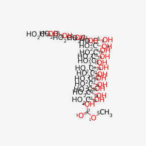 COC(=O)O.O=C(O)O.O=C(O)O.O=C(O)O.O=C(O)O.O=C(O)O.O=C(O)O.O=C(O)O.O=C(O)O.O=C(O)O.O=C(O)O.O=C(O)O.O=C(O)O.O=C(O)O.O=C(O)O.O=C(O)O.O=C(O)O